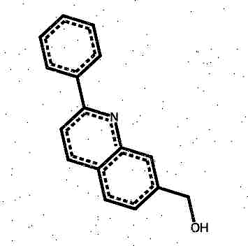 OCc1ccc2ccc(-c3ccccc3)nc2c1